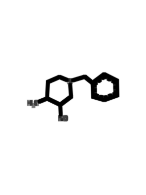 CC1CCN(Cc2ccccc2)CC1N=O